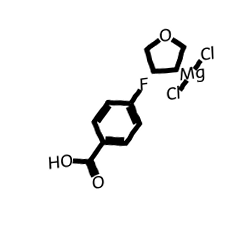 C1CCOC1.O=C(O)c1ccc(F)cc1.[Cl][Mg][Cl]